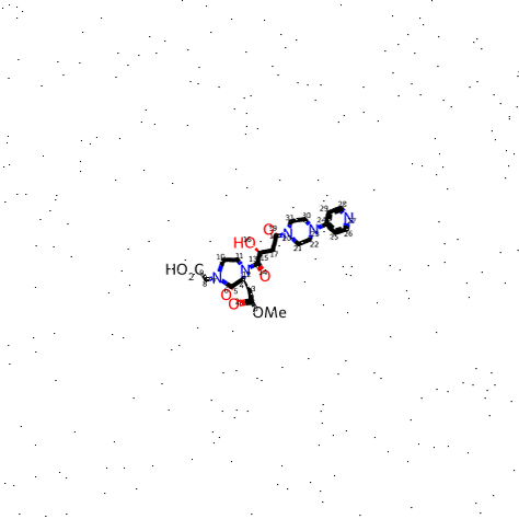 COC(=O)C[C@H]1C(=O)N(CC(=O)O)CCN1C(=O)[C@@H](O)CC(=O)N1CCN(c2ccncc2)CC1